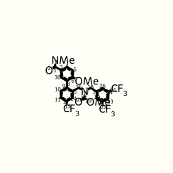 CNC(=O)c1ccc(OC)c(-c2ccc(C(F)(F)F)cc2CN(Cc2cc(C(F)(F)F)cc(C(F)(F)F)c2)C(=O)OC)c1